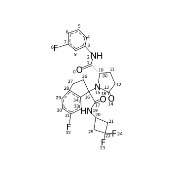 O=C(Nc1cccc(F)c1)[C@@H]1CCC(=O)N1C1(C(=O)NC2CC(F)(F)C2)CCc2ccc(F)cc21